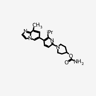 Cc1cc(-c2ccc(N3CCC(OC(N)=O)CC3)nc2C(C)C)cn2ccnc12